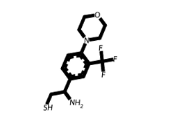 NC(CS)c1ccc(N2CCOCC2)c(C(F)(F)F)c1